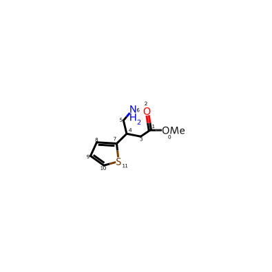 COC(=O)CC(CN)c1cccs1